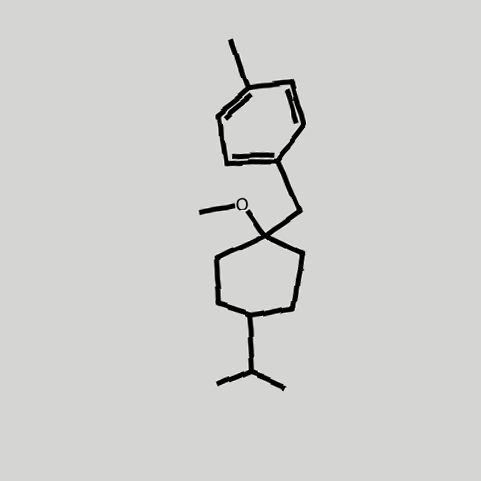 COC1(Cc2ccc(C)cc2)CCC(C(C)C)CC1